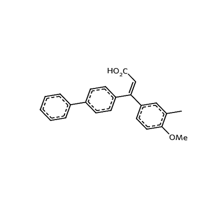 COc1ccc(C(=CC(=O)O)c2ccc(-c3ccccc3)cc2)cc1C